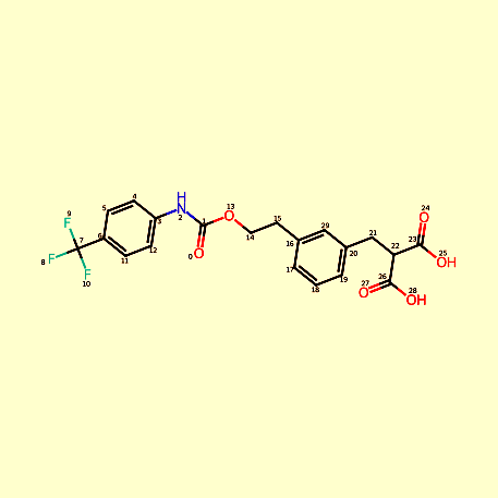 O=C(Nc1ccc(C(F)(F)F)cc1)OCCc1cccc(CC(C(=O)O)C(=O)O)c1